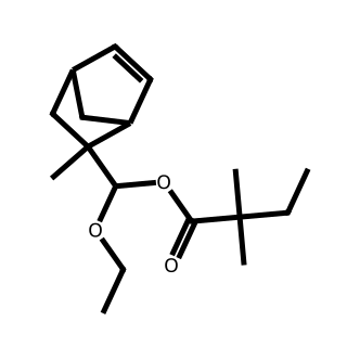 CCOC(OC(=O)C(C)(C)CC)C1(C)CC2C=CC1C2